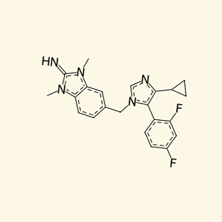 Cn1c(=N)n(C)c2cc(Cn3cnc(C4CC4)c3-c3ccc(F)cc3F)ccc21